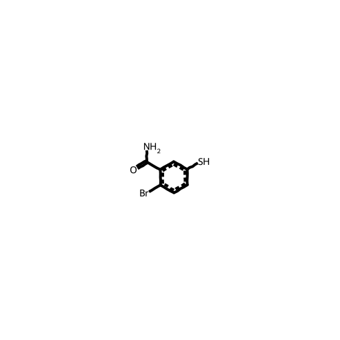 NC(=O)c1cc(S)ccc1Br